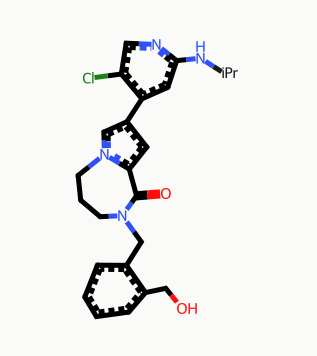 CC(C)Nc1cc(-c2cc3n(c2)CCCN(Cc2ccccc2CO)C3=O)c(Cl)cn1